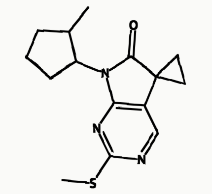 CSc1ncc2c(n1)N(C1CCCC1C)C(=O)C21CC1